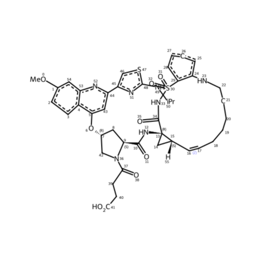 COc1ccc2c(O[C@@H]3C[C@@H](C(=O)N[C@]45C[C@H]4/C=C\CCCCCNc4ccccc4S(=O)(=O)NC5=O)N(C(=O)CCC(=O)O)C3)cc(-c3csc(NC(C)C)n3)nc2c1